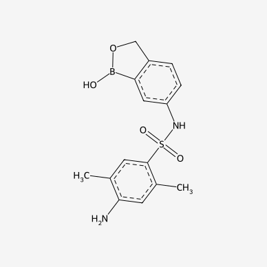 Cc1cc(S(=O)(=O)Nc2ccc3c(c2)B(O)OC3)c(C)cc1N